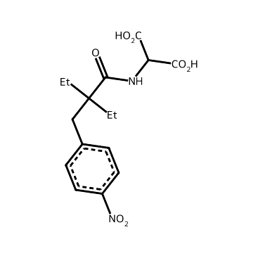 CCC(CC)(Cc1ccc([N+](=O)[O-])cc1)C(=O)NC(C(=O)O)C(=O)O